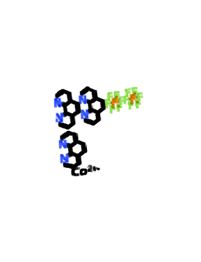 F[P-](F)(F)(F)(F)F.F[P-](F)(F)(F)(F)F.[Co+2].c1cnc2c(c1)ccc1cccnc12.c1cnc2c(c1)ccc1cccnc12.c1cnc2c(c1)ccc1cccnc12